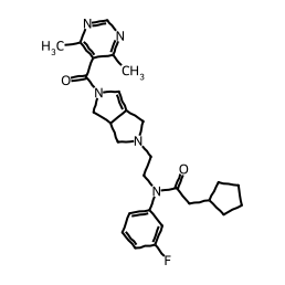 Cc1ncnc(C)c1C(=O)N1C=C2CN(CCN(C(=O)CC3CCCC3)c3cccc(F)c3)CC2C1